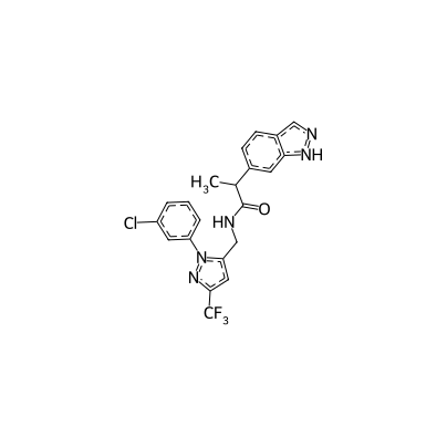 CC(C(=O)NCc1cc(C(F)(F)F)nn1-c1cccc(Cl)c1)c1ccc2cn[nH]c2c1